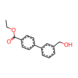 CCOC(=O)c1ccc(-c2cccc(CO)c2)cc1